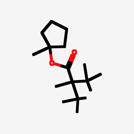 CC1(OC(=O)C(C)(C(C)(C)C)C(C)(C)C)CCCC1